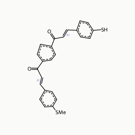 CSc1ccc(/C=C/C(=O)c2ccc(C(=O)/C=C/c3ccc(S)cc3)cc2)cc1